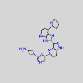 NC1CN(c2cncc(-c3ccc4[nH]nc(-c5nc6c(-c7ccccn7)ccnc6[nH]5)c4n3)n2)C1